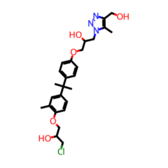 Cc1cc(C(C)(C)c2ccc(OCC(O)Cn3nnc(CO)c3C)cc2)ccc1OCC(O)CCl